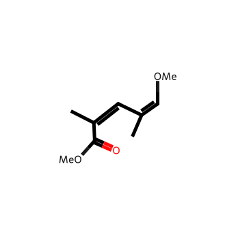 COC=C(C)C=C(C)C(=O)OC